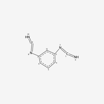 N=C=Nc1cccc(N=C=N)c1